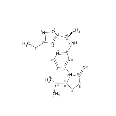 CCc1noc([C@@H](C)Nc2nccc(N3C(=O)OC[C@@H]3C(C)C)n2)n1